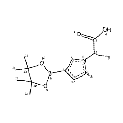 CC(C(=O)O)n1cc(B2OC(C)(C)C(C)(C)O2)cn1